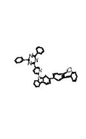 c1ccc(-c2nc(-c3ccccc3)nc(-c3ccc(-n4c5ccccc5c5ccc(-c6ccc7oc8ccccc8c7c6)cc54)nc3)n2)cc1